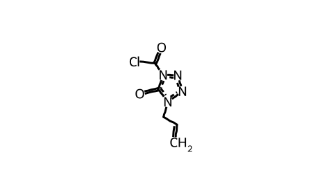 C=CCn1nnn(C(=O)Cl)c1=O